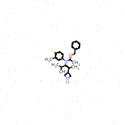 C/C(=C(/C(C)C)N(c1ccc(F)c(C)c1)C(C)OCc1ccccc1)C1CNC1